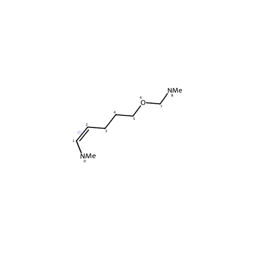 CN/C=C\CCCOCNC